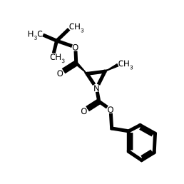 C[C@@H]1[C@H](C(=O)OC(C)(C)C)N1C(=O)OCc1ccccc1